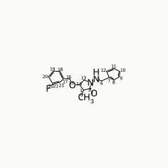 CC1C(=O)N(NCc2ccccc2)CC1OCc1cccc(F)c1